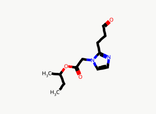 CCC(C)OC(=O)Cn1ccnc1CCC=O